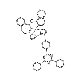 C1=C2C(=c3ccccc3=CC1)Oc1c(ccc3ccccc13)C21c2ccccc2-c2c(-c3ccc(-c4cc(-c5ccccc5)nc(-c5ccccc5)n4)cc3)cccc21